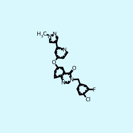 Cn1cc(-c2cc(Oc3ccc4ncn(Cc5ccc(Cl)c(F)c5)c(=O)c4c3)ccn2)cn1